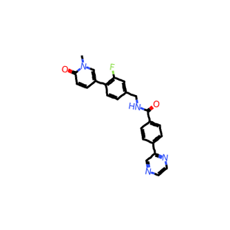 Cn1cc(-c2ccc(CNC(=O)c3ccc(-c4cnccn4)cc3)cc2F)ccc1=O